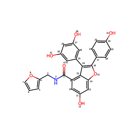 O=C(NCc1ccco1)c1cc(O)cc2oc(-c3ccc(O)cc3)c(-c3cc(O)cc(O)c3)c12